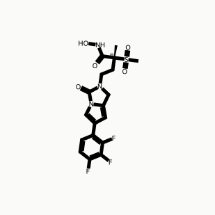 C[C@@](CCN1Cc2cc(-c3ccc(F)c(F)c3F)cn2C1=O)(C(=O)NO)S(C)(=O)=O